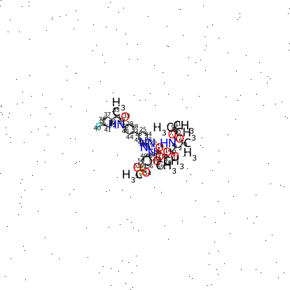 CCCC(NC(=O)OC(C)(C)C)C(=O)OC(C)OC(=O)N(c1nc2ccc(-c3ccc(NC(=O)C(C)c4ccc(F)cc4)cc3)cn2n1)c1ccc(S(C)(=O)=O)cc1OC